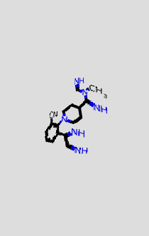 CN(C=N)C(=N)C1CCN(c2c(C#N)cccc2C(=N)C=N)CC1